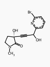 CN1CC[C@@](O)(C#CC(O)c2cccc(Br)n2)C1=O